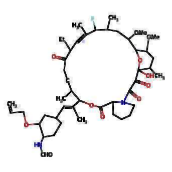 C=CCOC1CC(C=C(C)C2OC(=O)C3CCCCN3C(=O)C(=O)C3(O)OC(C(OC)CC(C)C(F)/C(C)=C/C(CC)C(=O)CCC2C)C(OC)CC3C)CCC1NC=O